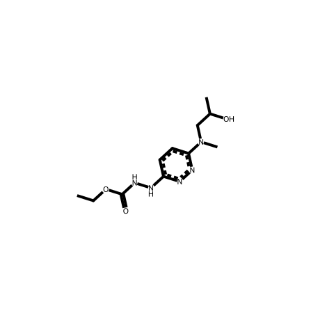 CCOC(=O)NNc1ccc(N(C)CC(C)O)nn1